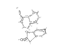 O=C1Cc2ccccc2O1.O=c1ccoc2ccccc12